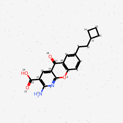 Nc1nc2oc3ccc(CCC4CCC4)cc3c(=O)c2cc1C(=O)O